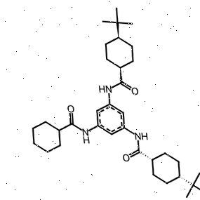 CC(C)(C)[C@H]1CC[C@@H](C(=O)Nc2cc(NC(=O)C3CCCCC3)cc(NC(=O)[C@H]3CC[C@@H](C(C)(C)C)CC3)c2)CC1